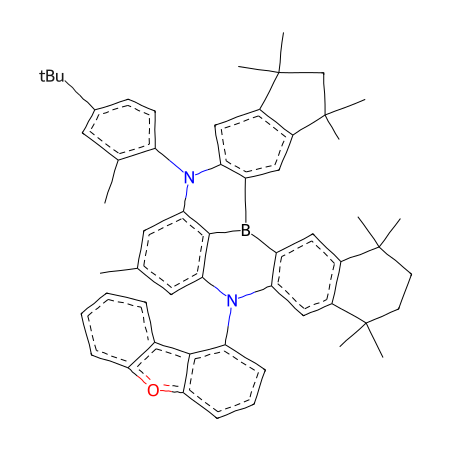 Cc1cc2c3c(c1)N(c1cccc4oc5ccccc5c14)c1cc4c(cc1B3c1cc3c(cc1N2c1ccc(C(C)(C)C)cc1C)C(C)(C)CC3(C)C)C(C)(C)CCC4(C)C